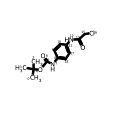 CC(C)(C)OC(=O)Nc1ccc(NC(=O)CCl)cc1